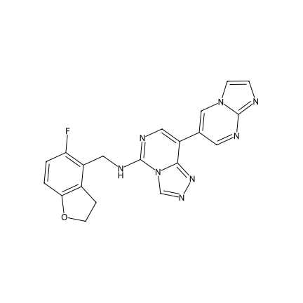 Fc1ccc2c(c1CNc1ncc(-c3cnc4nccn4c3)c3nncn13)CCO2